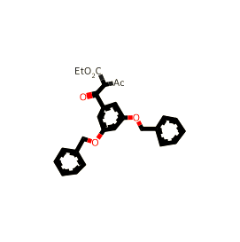 CCOC(=O)C(C(C)=O)C(=O)c1cc(OCc2ccccc2)cc(OCc2ccccc2)c1